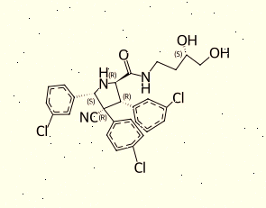 N#C[C@]1(c2ccc(Cl)cc2)[C@H](c2cccc(Cl)c2)N[C@@H](C(=O)NCC[C@H](O)CO)[C@@H]1c1cccc(Cl)c1